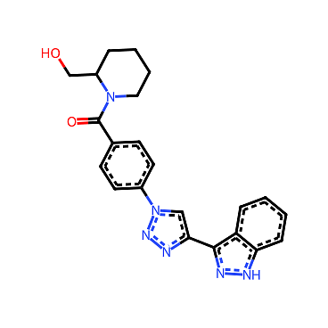 O=C(c1ccc(-n2cc(-c3n[nH]c4ccccc34)nn2)cc1)N1CCCCC1CO